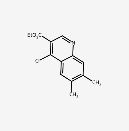 CCOC(=O)c1cnc2cc(C)c(C)cc2c1Cl